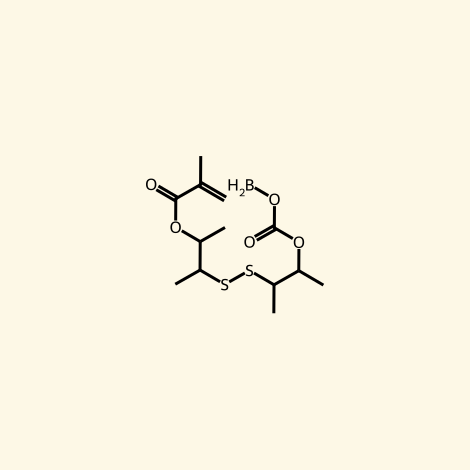 BOC(=O)OC(C)C(C)SSC(C)C(C)OC(=O)C(=C)C